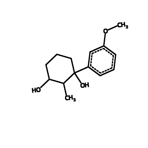 COc1cccc(C2(O)CCCC(O)C2C)c1